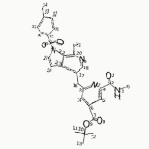 CNC(=O)c1cc(C(=O)OC(C)(C)C)cc(Cc2cnc(C)c3c2ccn3S(=O)(=O)c2ccc(C)cc2)n1